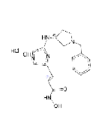 Cl.Cl.O=C(/C=C/c1cncc(N[C@@H]2CCN(Cc3ccccc3)C2)n1)NO